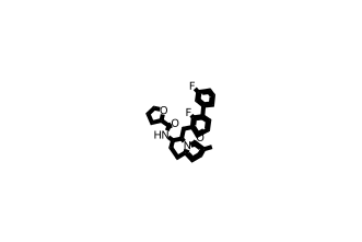 Cc1ccc2n(c1=O)C(Cc1cccc(-c3cccc(F)c3)c1F)C(NC(=O)C1CCCO1)CC2